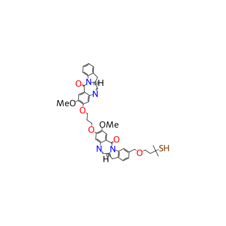 COc1cc2c(cc1OCCCOc1cc3c(cc1OC)C(=O)N1c4cc(COCCC(C)(C)S)ccc4C[C@H]1C=N3)N=C[C@@H]1Cc3ccccc3N1C2=O